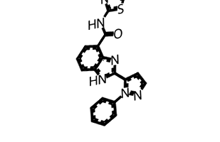 O=C(Nc1nccs1)c1cccc2[nH]c(-c3ccnn3-c3ccccc3)nc12